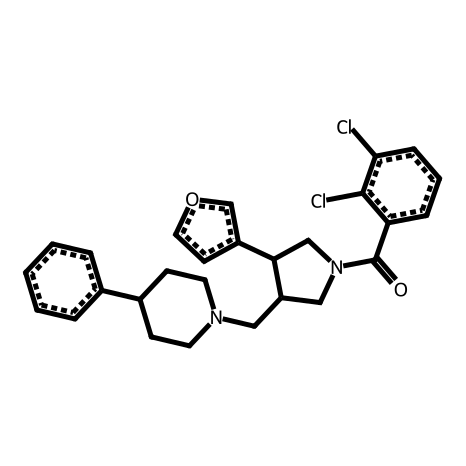 O=C(c1cccc(Cl)c1Cl)N1CC(CN2CCC(c3ccccc3)CC2)C(c2ccoc2)C1